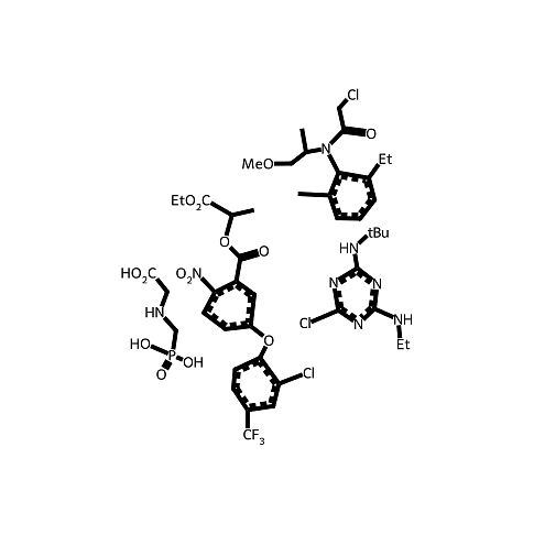 CCNc1nc(Cl)nc(NC(C)(C)C)n1.CCOC(=O)C(C)OC(=O)c1cc(Oc2ccc(C(F)(F)F)cc2Cl)ccc1[N+](=O)[O-].CCc1cccc(C)c1N(C(=O)CCl)C(C)COC.O=C(O)CNCP(=O)(O)O